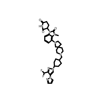 Cn1c(=O)n(C2CCC(=O)NC2=O)c2cccc(N3CCC4(CCN(CC5CCC(n6cc(-n7cccn7)c(C(F)F)n6)CC5)CC4)C3)c21